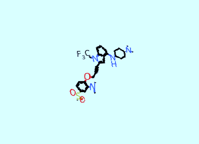 CN(C)c1cc(S(C)(=O)=O)ccc1OCC#Cc1cc2c(N[C@H]3CC[C@@H](N(C)C)CC3)cccc2n1CC(F)(F)F